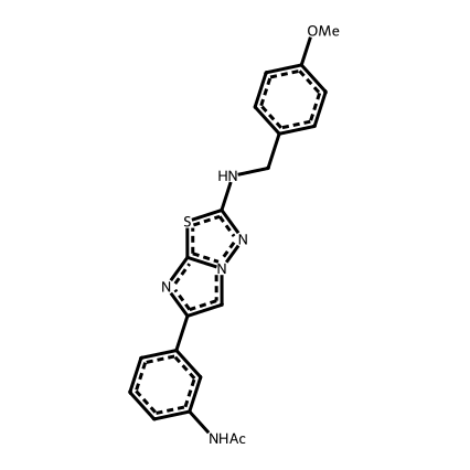 COc1ccc(CNc2nn3cc(-c4cccc(NC(C)=O)c4)nc3s2)cc1